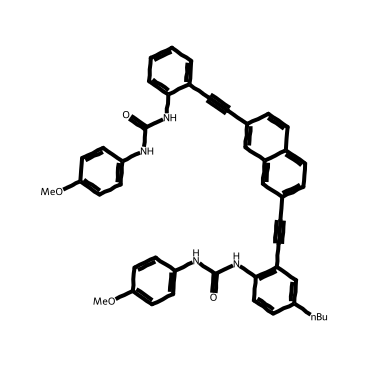 CCCCc1ccc(NC(=O)Nc2ccc(OC)cc2)c(C#Cc2ccc3ccc(C#Cc4ccccc4NC(=O)Nc4ccc(OC)cc4)cc3c2)c1